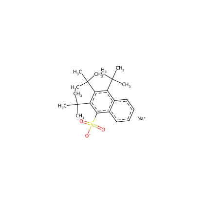 CC(C)(C)c1c(C(C)(C)C)c(S(=O)(=O)[O-])c2ccccc2c1C(C)(C)C.[Na+]